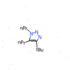 CCCc1c(C(C)(C)C)nnn1CCC